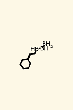 BBBCC=C1CCCCC1